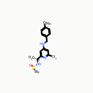 COc1ccc(CNc2cc([C@@H](C)N[S@+]([O-])C(C)(C)C)nc(C(F)(F)F)c2)cc1